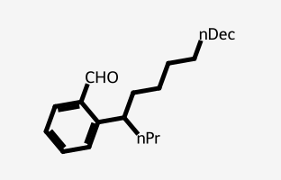 CCCCCCCCCCCCCCC(CCC)c1ccccc1C=O